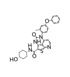 Cc1cc(Oc2ccccc2)ccc1N1C(=O)Nc2c(C(=O)N[C@H]3CC[C@@H](O)CC3)sc3nccc1c23